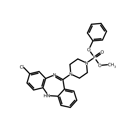 COP(=O)(Oc1ccccc1)N1CCN(C2=Nc3cc(Cl)ccc3Nc3ccccc32)CC1